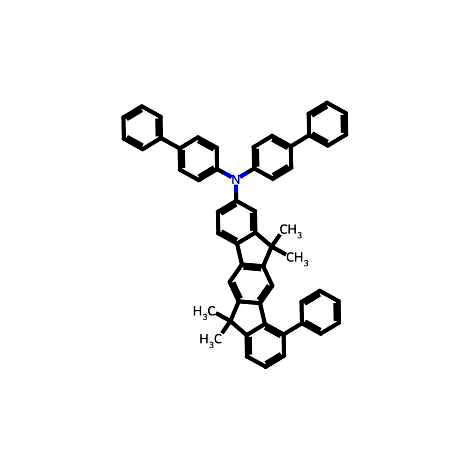 CC1(C)c2cc(N(c3ccc(-c4ccccc4)cc3)c3ccc(-c4ccccc4)cc3)ccc2-c2cc3c(cc21)-c1c(-c2ccccc2)cccc1C3(C)C